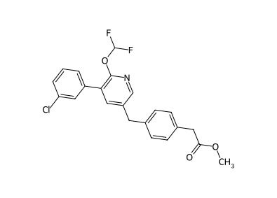 COC(=O)Cc1ccc(Cc2cnc(OC(F)F)c(-c3cccc(Cl)c3)c2)cc1